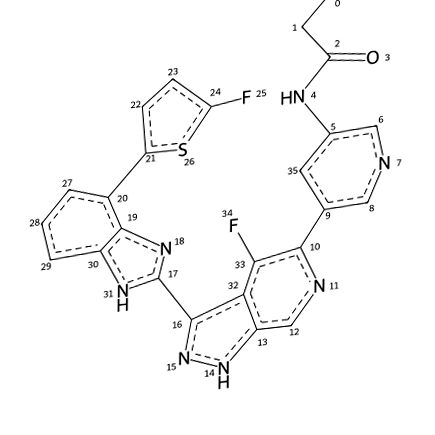 CC(C)(C)CC(=O)Nc1cncc(-c2ncc3[nH]nc(-c4nc5c(-c6ccc(F)s6)cccc5[nH]4)c3c2F)c1